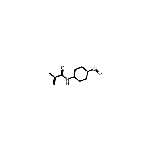 C=C(C)C(=O)NC1CCC([S+]=O)CC1